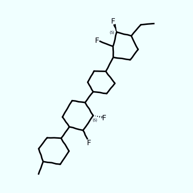 CCC1CCC(C2CCC(C3CCC(C4CCC(C)CC4)C(F)[C@H]3F)CC2)C(F)[C@H]1F